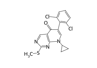 CSc1ncc2c(=O)c(-c3c(Cl)cccc3Cl)cn(C3CC3)c2n1